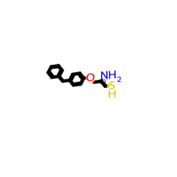 N[C@H](CS)COc1ccc(Cc2ccccc2)cc1